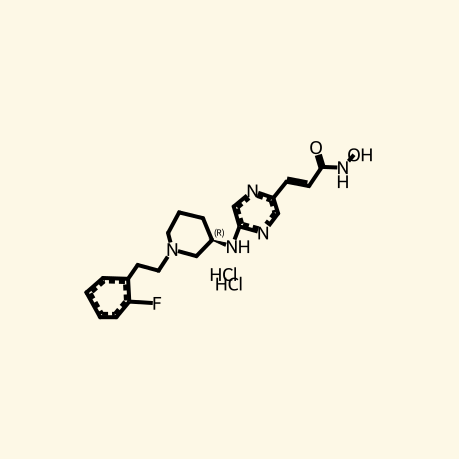 Cl.Cl.O=C(C=Cc1cnc(N[C@@H]2CCCN(CCc3ccccc3F)C2)cn1)NO